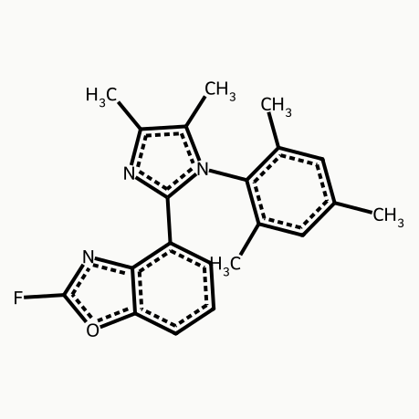 Cc1cc(C)c(-n2c(-c3cccc4oc(F)nc34)nc(C)c2C)c(C)c1